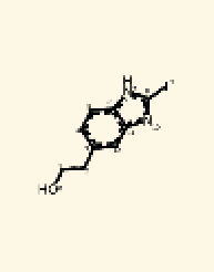 OCCc1ccc2[nH]c(I)nc2c1